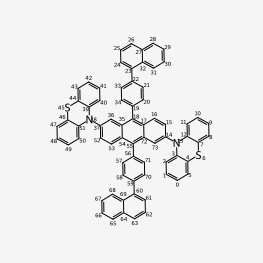 c1ccc2c(c1)Sc1ccccc1N2c1ccc2c(-c3ccc(-c4cccc5ccccc45)cc3)c3cc(N4c5ccccc5Sc5ccccc54)ccc3c(-c3ccc(-c4cccc5ccccc45)cc3)c2c1